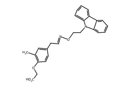 Cc1cc(CC=NOCCn2c3ccccc3c3ccccc32)ccc1OCC(=O)O